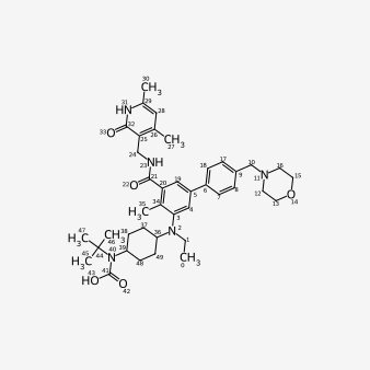 CCN(c1cc(-c2ccc(CN3CCOCC3)cc2)cc(C(=O)NCc2c(C)cc(C)[nH]c2=O)c1C)C1CCC(N(C(=O)O)C(C)(C)C)CC1